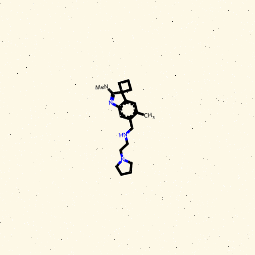 CNC1=Nc2cc(CNCCN3CCCC3)c(C)cc2C12CCC2